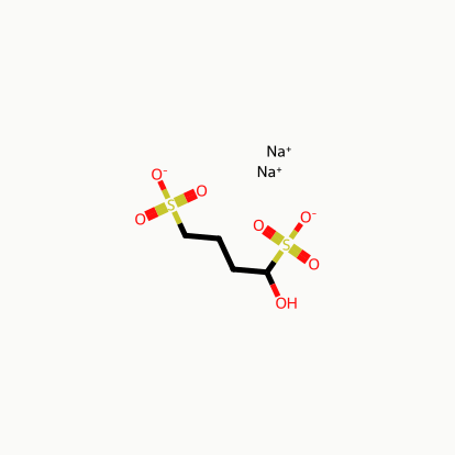 O=S(=O)([O-])CCCC(O)S(=O)(=O)[O-].[Na+].[Na+]